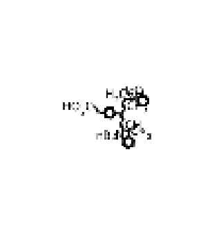 C=C(/C=C/C(=C/C=C1/N(CCCC)c2ccccc2C1(C)C)c1ccc(CCC(=O)O)cc1)C(C)(C)c1ccccc1C